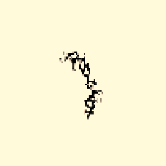 O=C1CCC(N2Cc3cc(C4CCN(C(=O)c5cc6ccc(C(F)(F)F)cc6[nH]5)CC4)ccc3C2=O)C(=O)N1